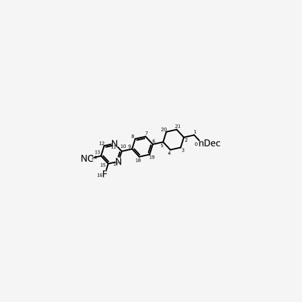 CCCCCCCCCCCC1CCC(c2ccc(-c3ncc(C#N)c(F)n3)cc2)CC1